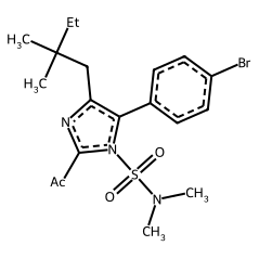 CCC(C)(C)Cc1nc(C(C)=O)n(S(=O)(=O)N(C)C)c1-c1ccc(Br)cc1